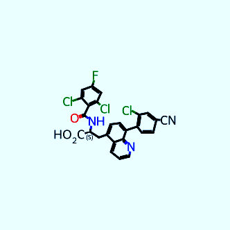 N#Cc1ccc(-c2ccc(C[C@H](NC(=O)c3c(Cl)cc(F)cc3Cl)C(=O)O)c3cccnc23)c(Cl)c1